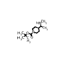 CNC(C)C1CCN(C(=O)OC(C)(C)C)CC1